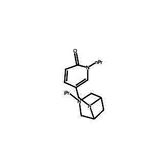 CCCn1cc(CN2C3CC2CN(C(C)C)C3)ccc1=O